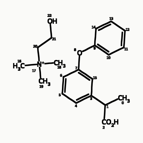 CC(C(=O)O)c1cccc(Oc2ccccc2)c1.C[N+](C)(C)CCO